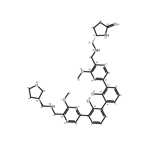 COc1nc(-c2cccc(-c3cccc(-c4cnc(CNC[C@@H]5CCC(=O)N5)c(OC)n4)c3Cl)c2Cl)cnc1CNC[C@H]1CCOC1